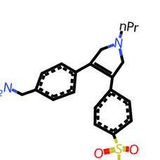 CCCN1CC(c2ccc(CN)cc2)=C(c2ccc(S(C)(=O)=O)cc2)C1